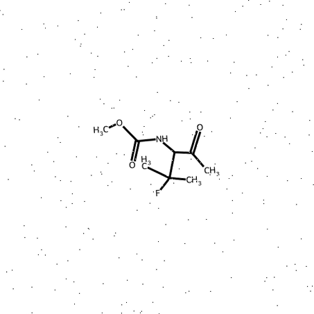 COC(=O)NC(C(C)=O)C(C)(C)F